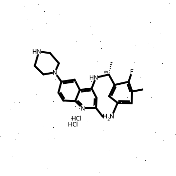 Cc1cc(N[C@H](C)c2cc(N)cc(C)c2F)c2cc(N3CCNCC3)ccc2n1.Cl.Cl